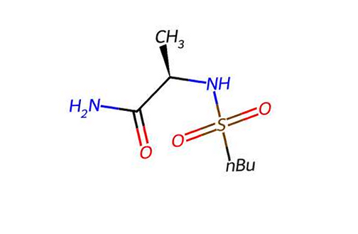 CCCCS(=O)(=O)N[C@H](C)C(N)=O